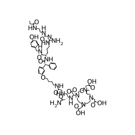 CCC(=O)NCCNC(=O)/N=C(/N)NCCC[C@@H](NC(=O)[C@@H](c1ccccc1)c1cccc(OCCCCNC(=O)CNC(=O)[C@@H](CC(N)=O)NC(C=O)N2CCN(CC(=O)O)CCN(CC(=O)O)CCN(CC(=O)O)CC2)c1)C(=O)NCc1ccc(O)cc1